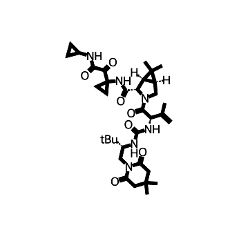 C=C(C)[C@H](NC(=O)N[C@H](CN1C(=O)CC(C)(C)CC1=O)C(C)(C)C)C(=O)N1C[C@H]2[C@@H]([C@H]1C(=O)NC1(C(=O)C(=O)NC3CC3)CC1)C2(C)C